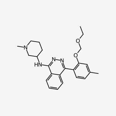 CCOCOc1cc(C)ccc1-c1nnc(NC2CCCN(C)C2)c2ccccc12